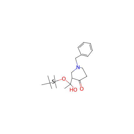 CC(O)(O[Si](C)(C)C(C)(C)C)C1CN(Cc2ccccc2)CCC1=O